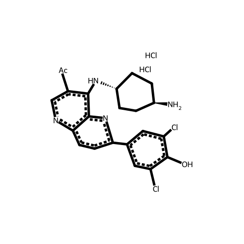 CC(=O)c1cnc2ccc(-c3cc(Cl)c(O)c(Cl)c3)nc2c1N[C@H]1CC[C@H](N)CC1.Cl.Cl